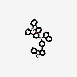 c1ccc(-n2c3ccccc3c3ccccc32)c(-c2ccc(N(c3ccc(-c4cccc5oc6ccccc6c45)cc3)c3cccc4ccccc34)cc2)c1